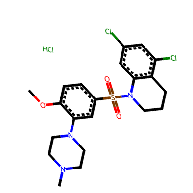 COc1ccc(S(=O)(=O)N2CCCc3c(Cl)cc(Cl)cc32)cc1N1CCN(C)CC1.Cl